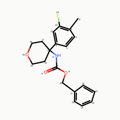 Cc1ccc(C2(NC(=O)OCc3ccccc3)CCOCC2)cc1F